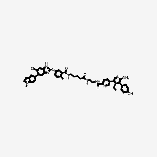 CCc1c(-c2ccc(C(=O)NCCNC(=O)CCCCNC(=O)c3cc(Oc4nc5cc(-c6ccc7c(ccn7C)c6)c(Cl)cc5[nH]4)ccc3C)nc2)cnc(N)c1-c1ccc(O)cc1